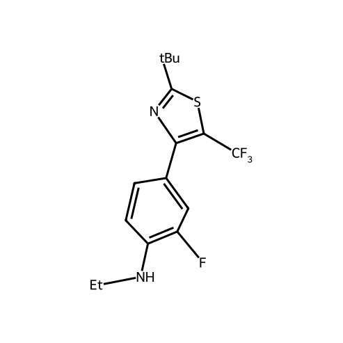 CCNc1ccc(-c2nc(C(C)(C)C)sc2C(F)(F)F)cc1F